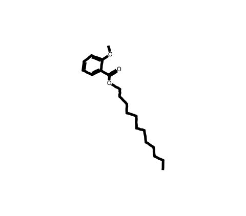 CCCCCCCCCCCCOC(=O)c1ccccc1OC